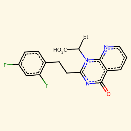 CCC(C(=O)O)n1c(CCc2ccc(F)cc2F)nc(=O)c2cccnc21